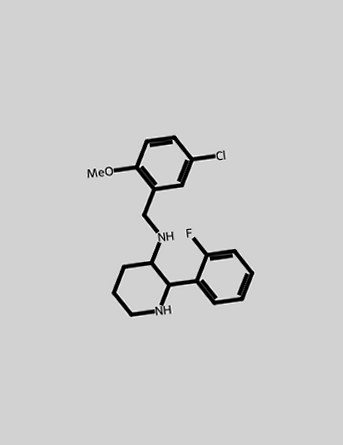 COc1ccc(Cl)cc1CNC1CCCNC1c1ccccc1F